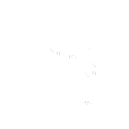 COC1CC(n2cc(C(=O)NCc3nnc(-c4ccccc4)s3)nn2)C1